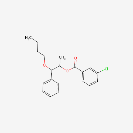 CCCCOC(c1ccccc1)C(C)OC(=O)c1cccc(Cl)c1